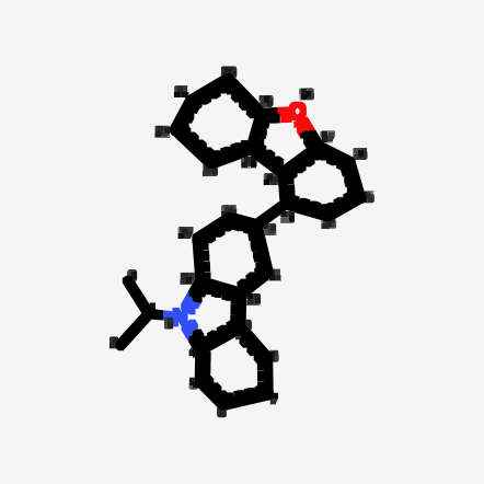 CC(C)n1c2ccccc2c2cc(-c3cccc4oc5ccccc5c34)ccc21